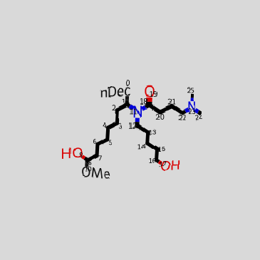 CCCCCCCCCCC(CCCCCCC(O)OC)N(CCCCCO)C(=O)CCCN(C)C